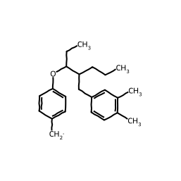 [CH2]c1ccc(OC(CC)C(CCC)Cc2ccc(C)c(C)c2)cc1